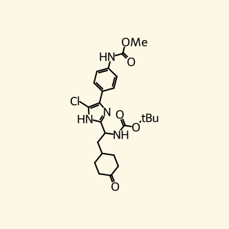 COC(=O)Nc1ccc(-c2nc(C(CC3CCC(=O)CC3)NC(=O)OC(C)(C)C)[nH]c2Cl)cc1